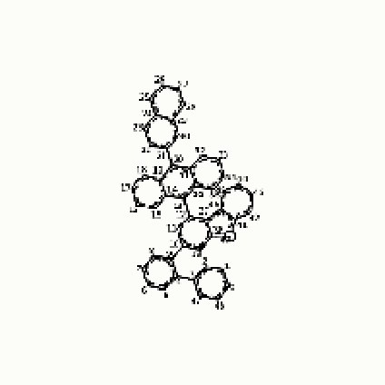 c1ccc(-c2ccccc2-c2cc(-c3c4ccccc4c(-c4ccc5ccccc5c4)c4ccccc34)c3c(c2)oc2ccccc23)cc1